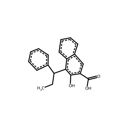 CCC(c1ccccc1)c1c(O)c(C(=O)O)cc2ccccc12